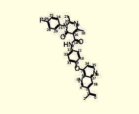 C=C(C)c1cnc2c(Oc3ccc(NC(=O)c4c(C)nc(C)n(-c5ccc(F)cc5)c4=O)cc3)ccnc2c1